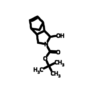 CC(C)(C)OC(=O)N1CC2C3C=CC(C3)C2C1O